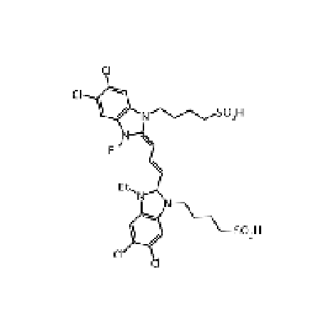 CCN1C(=CC=CC2N(CC)c3cc(Cl)c(Cl)cc3N2CCCCS(=O)(=O)O)N(CCCCS(=O)(=O)O)c2cc(Cl)c(Cl)cc21